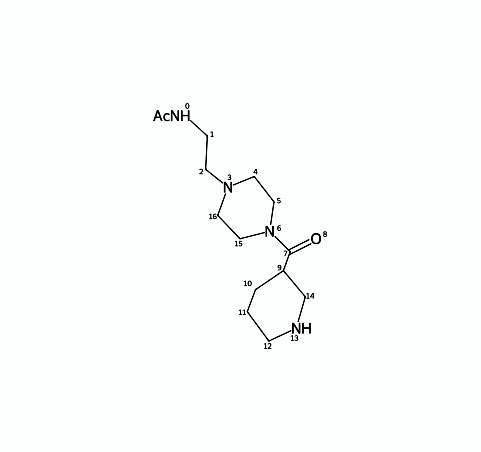 CC(=O)NCCN1CCN(C(=O)C2CCCNC2)CC1